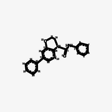 O=C(Nc1ccccc1)N1CCOc2cc(-c3ccccc3)cnc21